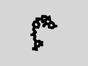 CC(/C=C/C1CC2(CO2)CC(C)(C)O1)=C\CC1CCC(NC(=O)/C=C\C2(OC(=O)N3CCN(C)CC3)CC2)CC1